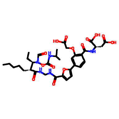 CCCCC[C@@H](C(=O)NCNC(=O)c1ccc(-c2ccc(C(=O)N[C@@H](CC(=O)O)C(=O)O)c(OCC(=O)O)c2)o1)[C@@H](CC)N(C=O)OC(=O)NC(C)C